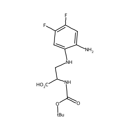 CC(C)(C)OC(=O)NC(CNc1cc(F)c(F)cc1N)C(=O)O